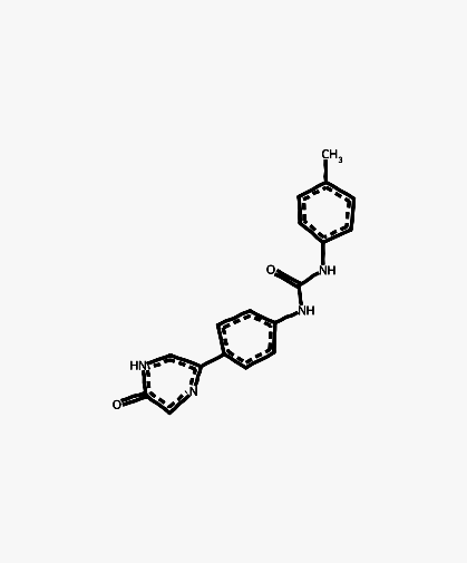 Cc1ccc(NC(=O)Nc2ccc(-c3c[nH]c(=O)cn3)cc2)cc1